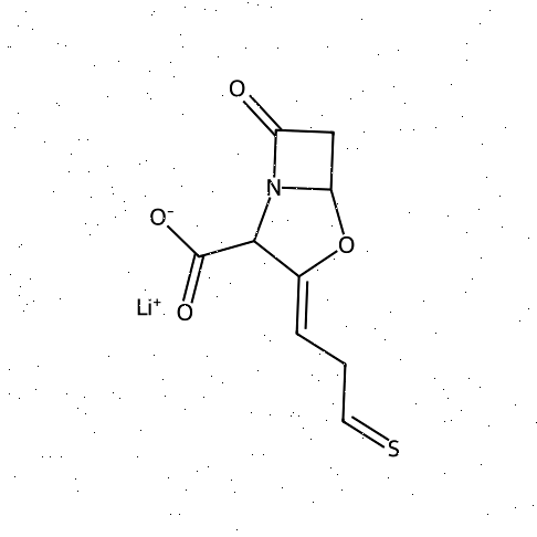 O=C([O-])C1C(=CCC=S)OC2CC(=O)N21.[Li+]